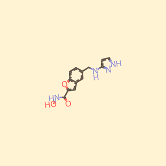 O=C(NO)c1cc2cc(CNc3cc[nH]n3)ccc2o1